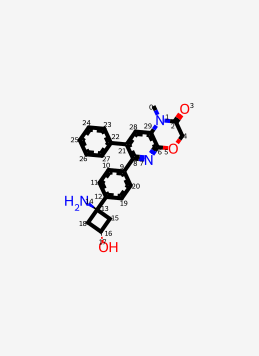 CN1C(=O)COc2nc(-c3ccc([C@]4(N)C[C@H](O)C4)cc3)c(-c3ccccc3)cc21